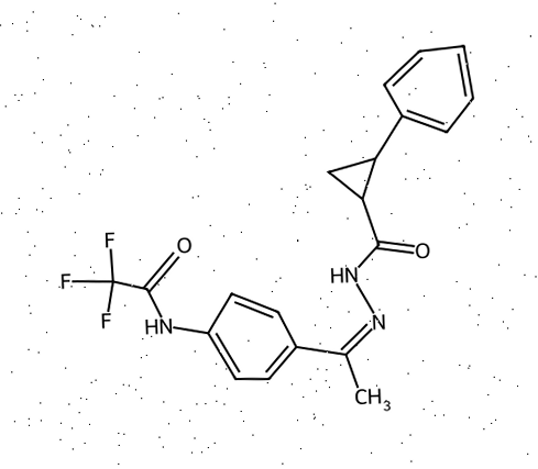 CC(=NNC(=O)C1CC1c1ccccc1)c1ccc(NC(=O)C(F)(F)F)cc1